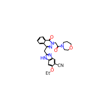 CCOc1cc2[nH]c(Cc3nn(CC(=O)N4CCCOCC4)c(=O)c4ccccc34)nc2cc1C#N